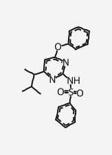 CC(C)C(C)c1cc(Oc2ccccc2)nc(NS(=O)(=O)c2ccccc2)n1